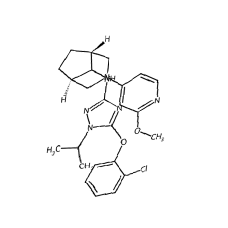 COc1cc(N2C[C@H]3CC[C@H](C2)C3Nc2nc(Oc3ccccc3Cl)n(C(C)C)n2)ccn1